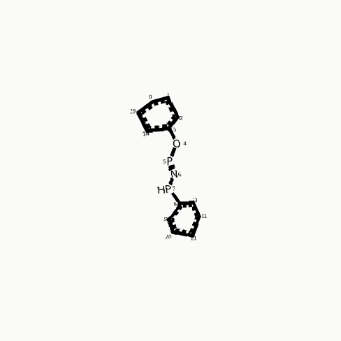 c1ccc(OP=NPc2ccccc2)cc1